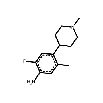 Cc1cc(N)c(F)cc1C1CCN(C)CC1